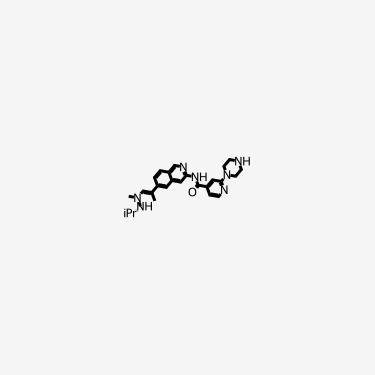 C/C(=C\N(C)NC(C)C)c1ccc2cnc(NC(=O)c3ccnc(N4CCNCC4)c3)cc2c1